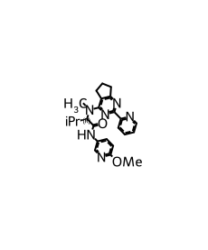 COc1ccc(NC(=O)[C@@H](C(C)C)N(C)c2nc(-c3ccccn3)nc3c2CCC3)cn1